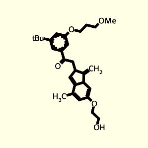 C=C1C(CC(=O)c2cc(OCCCOC)cc(C(C)(C)C)c2)C=C2C(C)=CC(OCCO)=CC12